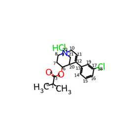 CC(C)C(=O)OC1CCN2CC=C(c3cccc(Cl)c3)C1C2.Cl